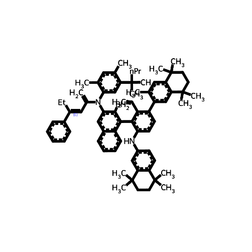 Bc1c(N(C(=C)/C=C(\CC)c2ccccc2)c2cc(C(C)(C)CCC)c(C)cc2C)cc2ccccc2c1-c1c(Nc2ccc3c(c2)C(C)(C)CCC3(C)C)ccc(-c2cc3c(cc2C)C(C)(C)CCC3(C)C)c1C=C